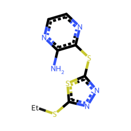 CCSc1nnc(Sc2nccnc2N)s1